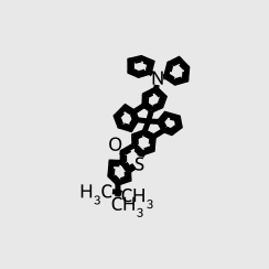 CC(C)(C)c1ccc2c(=O)c3cc4c(cc3sc2c1)-c1ccccc1C41c2ccccc2-c2cc(N(c3ccccc3)c3ccccc3)ccc21